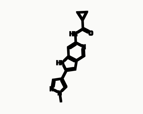 Cn1cc(-c2cc3cnc(NC(=O)C4CC4)cc3[nH]2)cn1